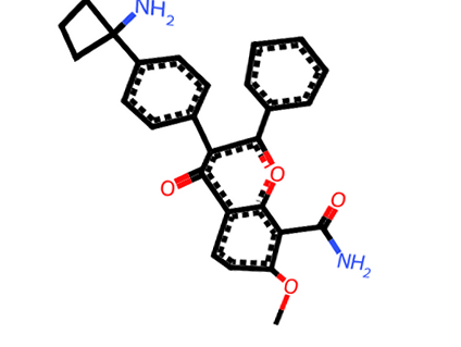 COc1ccc2c(=O)c(-c3ccc(C4(N)CCC4)cc3)c(-c3ccccc3)oc2c1C(N)=O